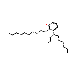 CCCCCCCCCCc1c(O)cccc1C(CCC)CCCCCC